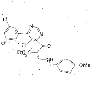 CCOC(=O)C(=CNCc1ccc(OC)cc1)C(=O)c1ncnc(-c2cc(Cl)cc(Cl)c2)c1Cl